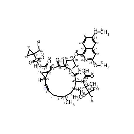 CC[C@@H]1C[C@@H](C)CC/C=C\[C@@H]2C[C@@]2(C(=O)NS(=O)(=O)C2(CF)CC2)NC(=O)[C@@H]2C[C@@H](Oc3nc(OC)cc4cc(OC)ccc34)CN2C(=O)[C@H]1N(C(=O)O)C(C)(C)C(F)(F)F